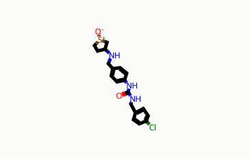 O=C(NCc1ccc(Cl)cc1)Nc1ccc(CNC2CC[S+]([O-])C2)cc1